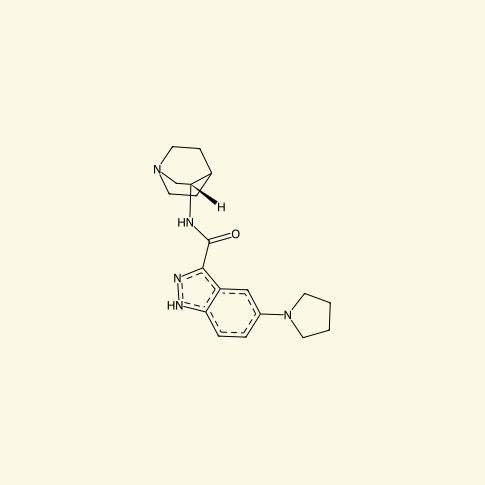 O=C(N[C@@H]1CN2CCC1CC2)c1n[nH]c2ccc(N3CCCC3)cc12